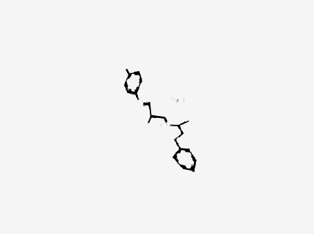 CC(CCc1ccccc1)NCC(O)COc1ccc(O)cc1.Cl